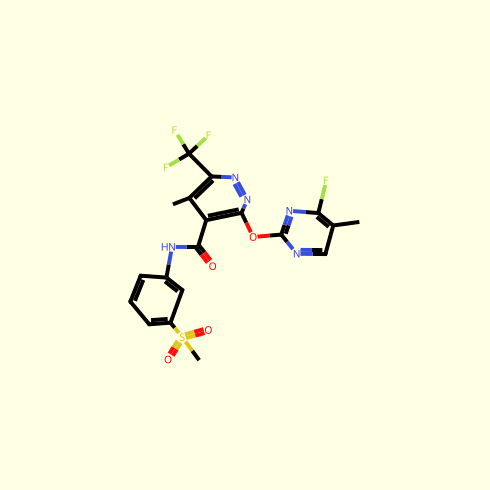 Cc1cnc(Oc2nnc(C(F)(F)F)c(C)c2C(=O)Nc2cccc(S(C)(=O)=O)c2)nc1F